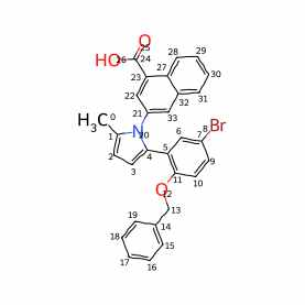 Cc1ccc(-c2cc(Br)ccc2OCc2ccccc2)n1-c1cc(C(=O)O)c2ccccc2c1